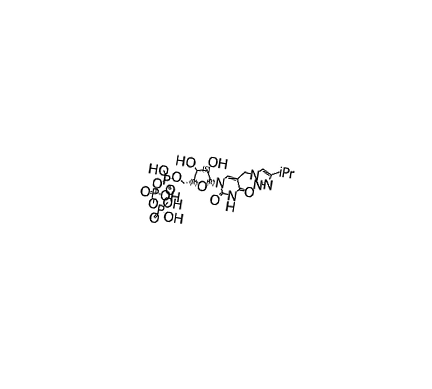 CC(C)c1cn(Cc2cn([C@@H]3O[C@H](COP(=O)(O)OP(=O)(O)OP(=O)(O)O)C(O)[C@@H]3O)c(=O)[nH]c2=O)nn1